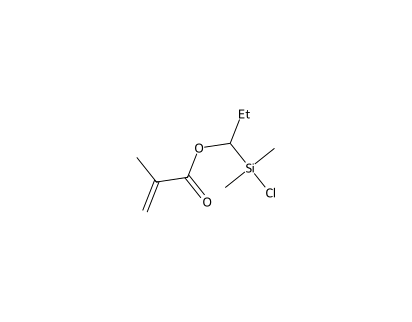 C=C(C)C(=O)OC(CC)[Si](C)(C)Cl